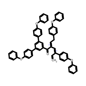 C=C/C(=C\C(=C/Cc1ccc(Oc2ccccc2)cc1)C(=O)c1cc(-c2ccc(Oc3ccccc3)cc2)cc(-c2ccc(Oc3ccccc3)cc2)c1)c1ccc(Oc2ccccc2)cc1